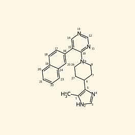 Cc1[nH]cnc1C1CCN(c2ncncc2-c2ccc3ccccc3c2)CC1